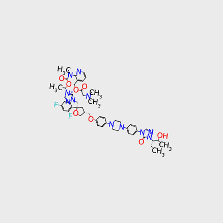 CC[C@@H]([C@H](C)O)n1ncn(-c2ccc(N3CCN(c4ccc(OC[C@@H]5CO[C@@](Cn6c[n+](C(C)OC(=O)N(C)c7ncccc7COC(=O)CN(C)C)cn6)(c6ccc(F)cc6F)C5)cc4)CC3)cc2)c1=O